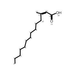 CCCCCCCCCCC/C(C)=C\C(=O)O